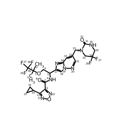 CC(C)(OCC(NC(=O)c1nonc1C1CC1)c1cn2ncc(CN3CC(F)(F)CNC3=O)cc2n1)C(F)(F)F